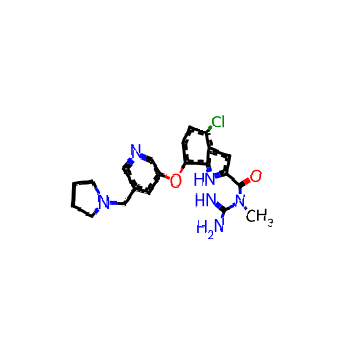 CN(C(=N)N)C(=O)c1cc2c(Cl)ccc(Oc3cncc(CN4CCCC4)c3)c2[nH]1